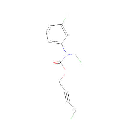 O=C(OCC#CCCl)N(CCl)c1cccc(Cl)c1